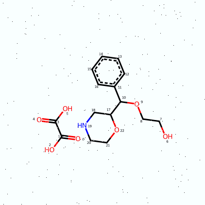 O=C(O)C(=O)O.OCCOC(c1ccccc1)C1CNCCO1